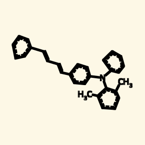 Cc1cccc(C)c1N(c1ccccc1)c1ccc(/C=C/C=C/c2ccccc2)cc1